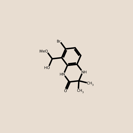 COC(O)c1c(Br)ccc2c1NC(=O)C(C)(C)N2